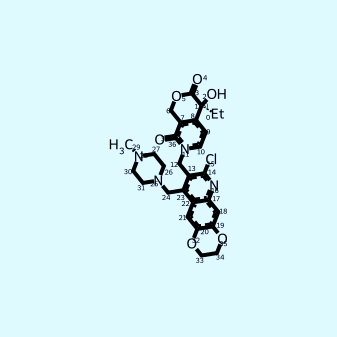 CC[C@@]1(O)C(=O)OCc2c1ccn(Cc1c(Cl)nc3cc4c(cc3c1CN1CCN(C)CC1)OCCO4)c2=O